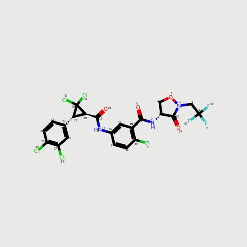 O=C(N[C@@H]1CON(CC(F)(F)F)C1=O)c1cc(NC(=O)[C@H]2[C@H](c3ccc(Cl)c(Cl)c3)C2(Cl)Cl)ccc1Cl